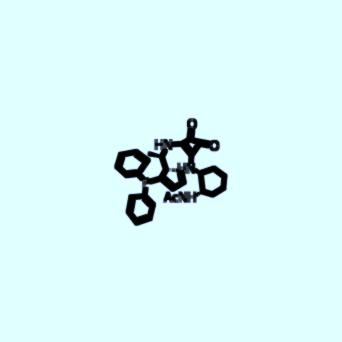 CC(=O)N[C@H]1CCCC[C@@H]1Nc1c(N[C@H](C)[C@@H]2C=CC=C2P(c2ccccc2)c2ccccc2)c(=O)c1=O